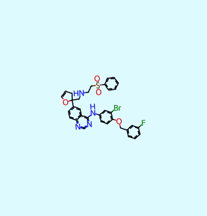 O=S(=O)(CCNCC1(c2ccc3ncnc(Nc4ccc(OCc5cccc(F)c5)c(Br)c4)c3c2)CC=CO1)c1ccccc1